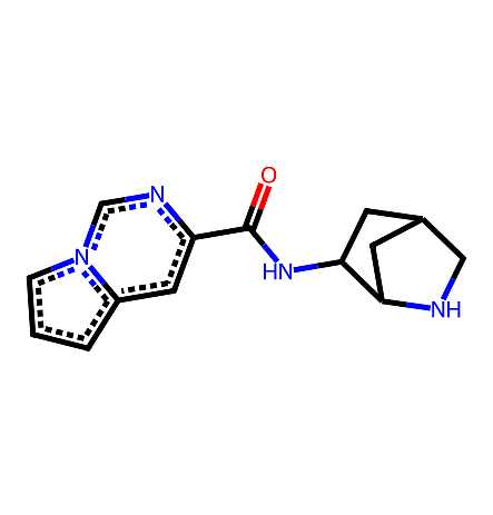 O=C(NC1CC2CNC1C2)c1cc2cccn2cn1